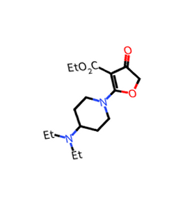 CCOC(=O)C1=C(N2CCC(N(CC)CC)CC2)OCC1=O